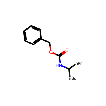 CCCCC(CCC)NC(=O)OCc1ccccc1